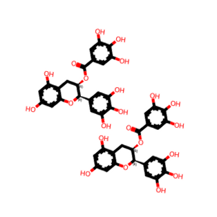 O=C(O[C@@H]1Cc2c(O)cc(O)cc2O[C@@H]1c1cc(O)c(O)c(O)c1)c1cc(O)c(O)c(O)c1.O=C(O[C@@H]1Cc2c(O)cc(O)cc2O[C@@H]1c1cc(O)c(O)c(O)c1)c1cc(O)c(O)c(O)c1